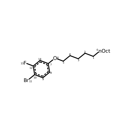 CCCCCCCCCCCCCOc1ccc(Br)c(F)c1